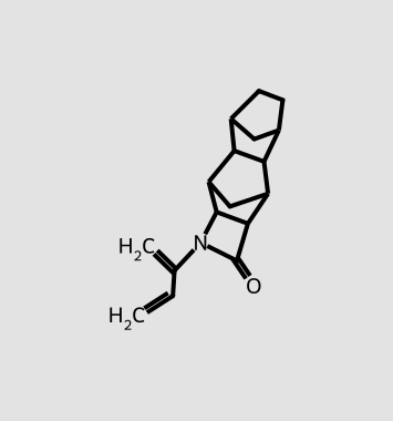 C=CC(=C)N1C(=O)C2C3CC(C4C5CCC(C5)C34)C21